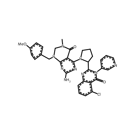 COc1ccc(CN2CN(C)C(=O)c3c2nc(N)nc3N2CCCC2c2nc3cccc(Cl)c3c(=O)n2-c2cccnc2)cc1